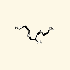 C/C=C\N=C/C(C)/C=N\C=C/C